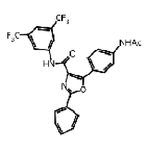 CC(=O)Nc1ccc(-c2oc(-c3ccccc3)nc2C(=O)Nc2cc(C(F)(F)F)cc(C(F)(F)F)c2)cc1